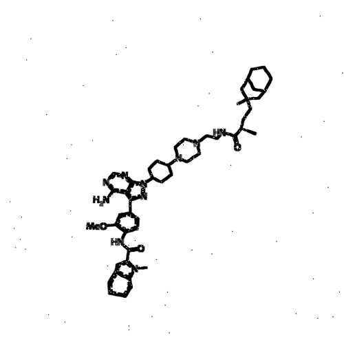 COc1cc(-c2nn(C3CCC(N4CCN(CCNC(=O)[C@H](C)CCC5(C)CC6CCCC(C6)C5)CC4)CC3)c3ncnc(N)c23)ccc1NC(=O)c1cc2ccccc2n1C